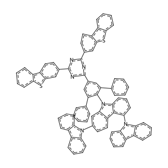 c1ccc(-c2cc(-c3nc(-c4ccc5c(c4)sc4ccccc45)nc(-c4ccc5c(c4)sc4ccccc45)n3)cc(-c3ccccc3)c2-n2c3cc(-n4c5ccccc5c5ccccc54)ccc3c3c(-n4c5ccccc5c5ccccc54)cccc32)cc1